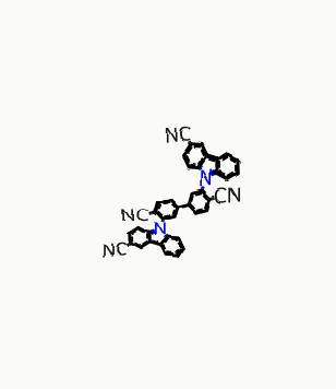 N#Cc1ccc2c(c1)c1ccccc1n2-c1cc(-c2ccc(C#N)c(-n3c4ccccc4c4cc(C#N)ccc43)c2)ccc1C#N